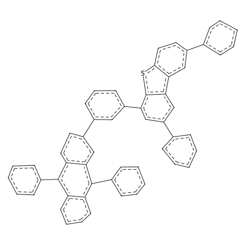 c1ccc(-c2ccc3sc4c(-c5cccc(-c6ccc7c(-c8ccccc8)c8ccccc8c(-c8ccccc8)c7c6)c5)cc(-c5ccccc5)cc4c3c2)cc1